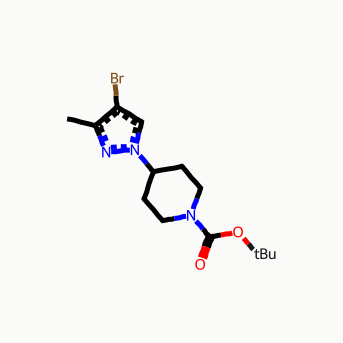 Cc1nn(C2CCN(C(=O)OC(C)(C)C)CC2)cc1Br